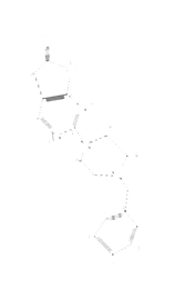 O=C1Cc2cnc(N3CCN(Cc4ccccc4)CC3)nc2O1